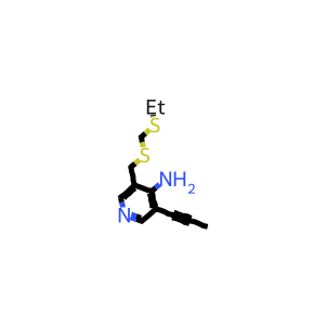 CC#Cc1cncc(CSCSCC)c1N